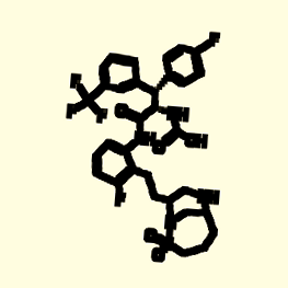 O=C(O)N[C@H](C(=O)Nc1cccc(F)c1CCC1CNC2CCCS(=O)(=O)N1C2)[C@@H](c1ccc(F)cc1)c1cccc(C(F)(F)F)c1